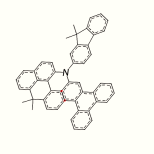 CC1(C)c2ccccc2-c2ccc(N(c3ccc4c5ccccc5c5ccccc5c4c3)c3ccc4cccc5c4c3-c3ccccc3C5(C)C)cc21